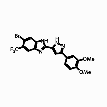 COc1ccc(-c2cc(-c3nc4cc(C(F)(F)F)c(Br)cc4[nH]3)[nH]n2)cc1OC